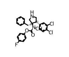 CN(C(=O)Oc1ccc(F)cc1)[C@@]1(Cc2ccccc2)CNC[C@@H]1c1ccc(Cl)c(Cl)c1